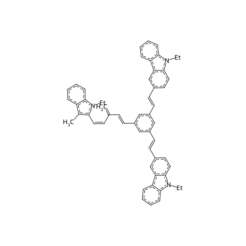 C=C(/C=C\c1c(C)c2ccccc2n1CC)/C=C/c1cc(/C=C/c2ccc3c(c2)c2ccccc2n3CC)cc(/C=C/c2ccc3c(c2)c2ccccc2n3CC)c1